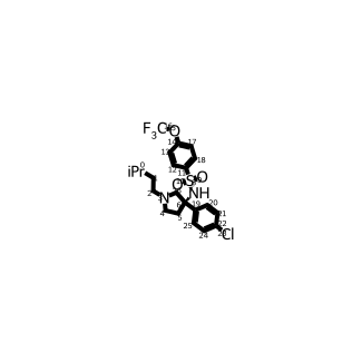 CC(C)CCN1CC[C@@](NS(=O)(=O)c2ccc(OC(F)(F)F)cc2)(c2ccc(Cl)cc2)C1